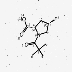 CC(C)(C)C(=O)N1C[C@H](F)C[C@H]1C(=O)O